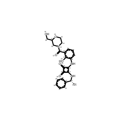 CC[C@@H](Nc1c(Nc2cccc(C(=O)N3CCOC(CO)C3)c2O)c(=O)c1=O)c1ccccc1